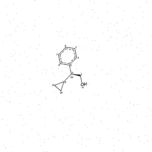 OC[C@H](c1ccccc1)C1CC1